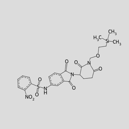 C[Si](C)(C)CCOCN1C(=O)CCC(N2C(=O)c3ccc(NS(=O)(=O)c4ccccc4[N+](=O)[O-])cc3C2=O)C1=O